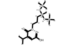 CC(C)C(=CC(=O)O)C(=O)OCCC[Si](C)(O[Si](C)(C)C)O[Si](C)(C)C